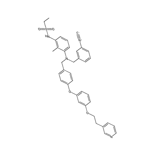 [C-]#[N+]c1cccc(CN(Cc2ccc(Oc3cccc(OCCc4cccnc4)c3)cc2)c2cccc(NS(=O)(=O)CC)c2C)c1